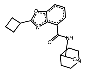 O=C(NC1CN2CCC1CC2)c1cccc2oc(C3CCC3)nc12